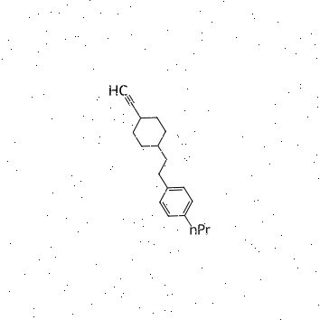 C#CC1CCC(CCc2ccc(CCC)cc2)CC1